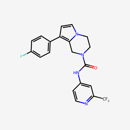 O=C(Nc1ccnc(C(F)(F)F)c1)N1CCn2ccc(-c3ccc(F)cc3)c2C1